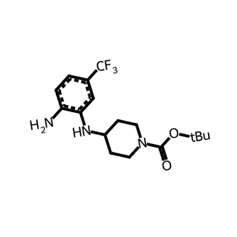 CC(C)(C)OC(=O)N1CCC(Nc2cc(C(F)(F)F)ccc2N)CC1